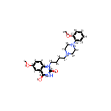 COc1ccc2c(c1)c(=O)[nH]c(=O)n2CCCCN1CCN(c2ccccc2OC)CC1